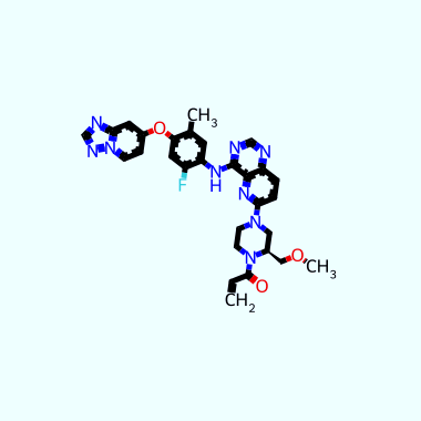 C=CC(=O)N1CCN(c2ccc3ncnc(Nc4cc(C)c(Oc5ccn6ncnc6c5)cc4F)c3n2)C[C@H]1COC